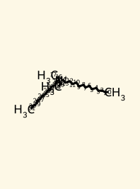 CCCCCCCCCCCCCCC[N+](CC)(CC)CCCCCCCCCCCC